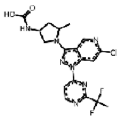 CC1CC(NC(=O)O)CN1c1nn(-c2ccnc(C(C)(F)F)n2)c2cc(Cl)ncc12